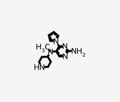 CN(c1cnc(N)nc1-n1cccc1)C1CCNCC1